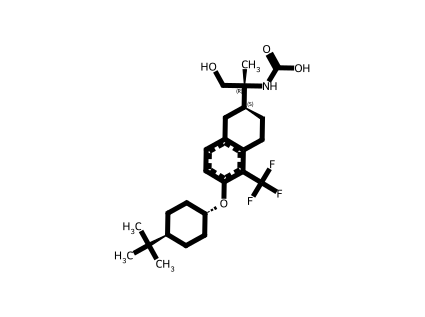 CC(C)(C)[C@H]1CC[C@H](Oc2ccc3c(c2C(F)(F)F)CC[C@H]([C@](C)(CO)NC(=O)O)C3)CC1